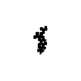 COC(=O)COc1cc(F)c(-c2ccc(C(F)(F)F)n(C)c2=O)cc1[N+](=O)[O-]